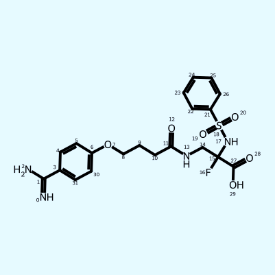 N=C(N)c1ccc(OCCCC(=O)NCC(F)(NS(=O)(=O)c2ccccc2)C(=O)O)cc1